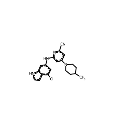 N#Cc1cc(N2CCC(C(F)(F)F)CC2)cc(Nc2cc(Cl)c3cc[nH]c3c2)n1